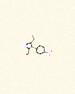 CCc1c[nH]c(C=O)c1-c1ccc([N+](=O)[O-])cc1